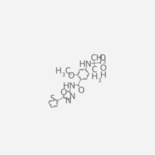 COc1cc(NC(C)(C)C(=O)O)ccc1C(=O)Nc1nnc(-c2cccs2)o1